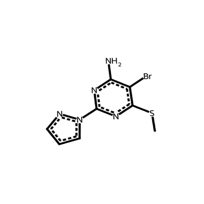 CSc1nc(-n2cccn2)nc(N)c1Br